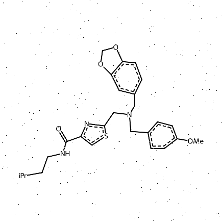 COc1ccc(CN(Cc2ccc3c(c2)OCO3)Cc2nc(C(=O)NCCC(C)C)cs2)cc1